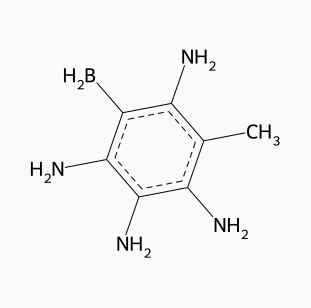 Bc1c(N)c(C)c(N)c(N)c1N